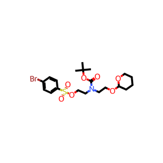 CC(C)(C)OC(=O)N(CCOC1CCCCO1)CCOS(=O)(=O)c1ccc(Br)cc1